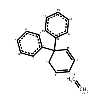 C1=CCC(c2ccccc2)(c2ccccc2)C=C1.C=C